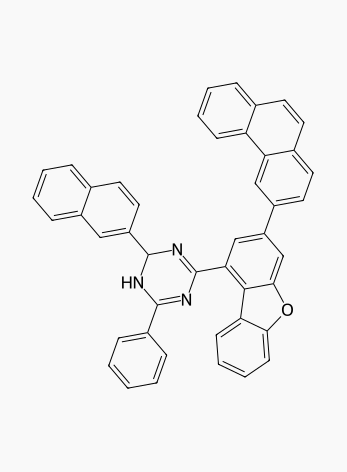 c1ccc(C2=NC(c3cc(-c4ccc5ccc6ccccc6c5c4)cc4oc5ccccc5c34)=NC(c3ccc4ccccc4c3)N2)cc1